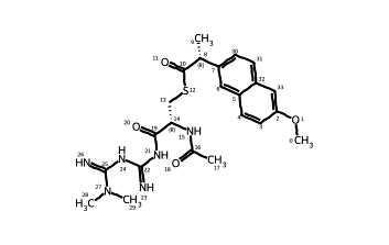 COc1ccc2cc([C@@H](C)C(=O)SC[C@H](NC(C)=O)C(=O)NC(=N)NC(=N)N(C)C)ccc2c1